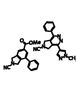 COC(=O)c1cc2c(c(-c3ccccc3)c1)CN(C#N)C2.Cn1cc(-c2nnc(-c3ccccc3)c3c2CN(C#N)C3)cn1